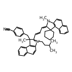 CC(C)CC[N+]1=C(/C=C/C=C2/N(C)c3ccc4ccccc4c3C23CCCCC3)C(C)(Cc2ccc(C#N)cc2)c2c1ccc1ccccc21